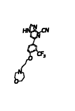 N#Cc1nc(-c2ccc(OCCCN3CCCOCC3)c(C(F)(F)F)c2)cc2[nH]cnc12